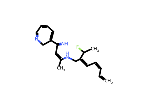 C=C/C=C\C=C(\CN/C(C)=C\C(=N)C1=CC=CC=NC1)C(C)F